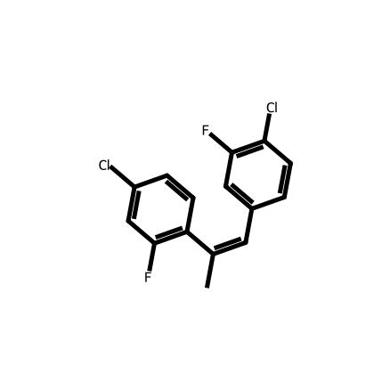 CC(=Cc1ccc(Cl)c(F)c1)c1ccc(Cl)cc1F